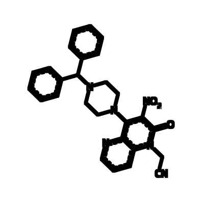 N#CCn1c(=O)c([N+](=O)[O-])c(N2CCN(C(c3ccccc3)c3ccccc3)CC2)c2ncccc21